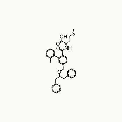 CSCC[C@H](NC(=O)c1ccc(COC(Cc2ccccc2)Cc2ccccc2)cc1-c1ccccc1C)C(=O)O